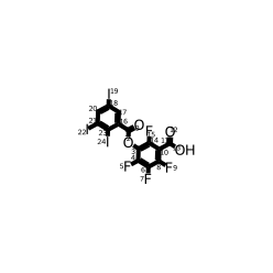 O=C(Oc1c(F)c(F)c(F)c(C(=O)O)c1F)c1cc(I)cc(I)c1I